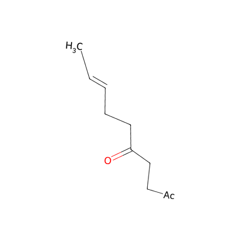 CC=CCCC(=O)CCC(C)=O